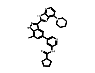 O=C(Nc1cncc(-c2cc(F)c3[nH]nc(-c4nc5c(N6CCCCC6)ccnc5[nH]4)c3c2)c1)C1CCCC1